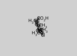 Cc1cc(CNC(=O)c2c(C)c3cc(Cl)ccc3n2C)cc(Oc2ccc(CCC(=O)O)c(C)c2)c1